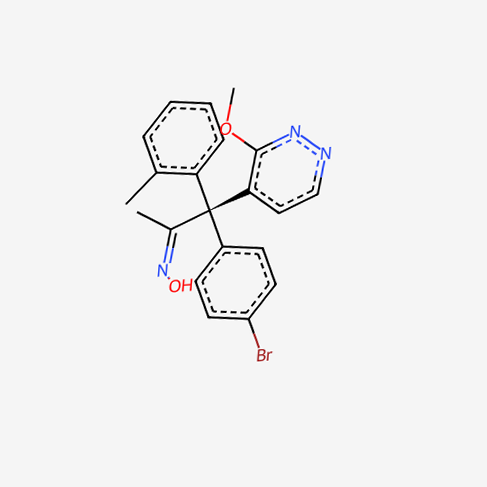 COc1nnccc1[C@](/C(C)=N\O)(c1ccc(Br)cc1)c1ccccc1C